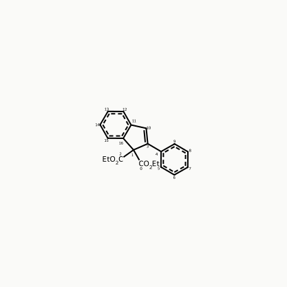 CCOC(=O)C1(C(=O)OCC)C(c2ccccc2)=Cc2ccccc21